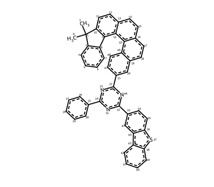 CC1(C)c2ccccc2-c2c1ccc1ccc3ccc4cc(-c5nc(-c6ccccc6)nc(-c6ccc7sc8ccccc8c7c6)n5)ccc4c3c21